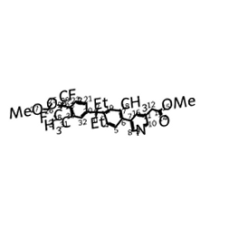 CCC(CC)(c1ccc(-c2cncc(CC(=O)OC)c2)c(C)c1)c1ccc(C(OCOC)(C(F)(F)F)C(F)(F)F)c(C)c1